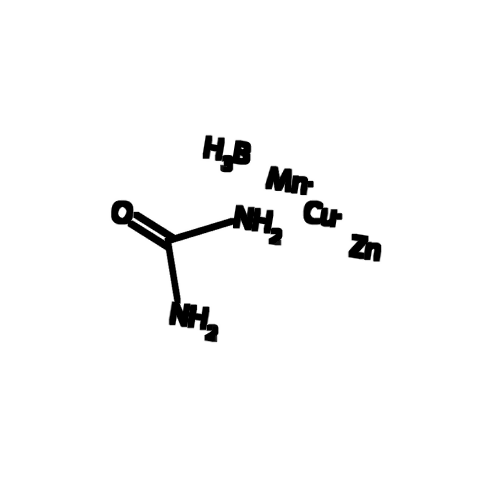 B.NC(N)=O.[Cu].[Mn].[Zn]